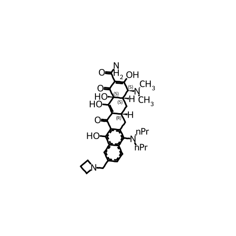 CCCN(CCC)c1c2c(c(O)c3cc(CN4CCC4)ccc13)C(=O)C1=C(O)[C@]3(O)C(=O)C(C(N)=O)=C(O)[C@@H](N(C)C)[C@@H]3C[C@@H]1C2